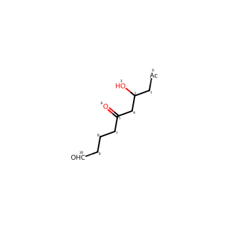 CC(=O)CC(O)CC(=O)CCCC=O